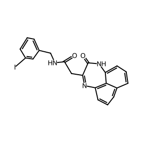 O=C(CC1=Nc2cccc3cccc(c23)NC1=O)NCc1cccc(I)c1